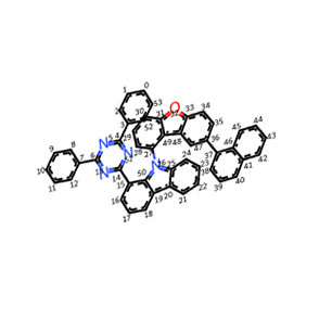 c1ccc(-c2nc(-c3ccccc3)nc(-c3cccc4c5ccccc5n(-c5cccc6oc7ccc(-c8cccc9ccccc89)cc7c56)c34)n2)cc1